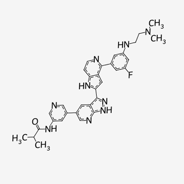 CC(C)C(=O)Nc1cncc(-c2cnc3[nH]nc(-c4cc5c(-c6cc(F)cc(NCCN(C)C)c6)nccc5[nH]4)c3c2)c1